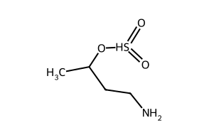 CC(CCN)O[SH](=O)=O